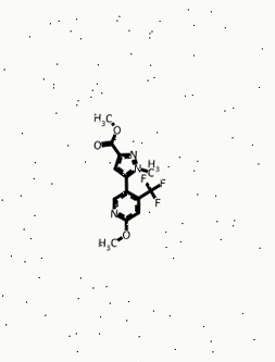 COC(=O)c1cc(-c2cnc(OC)cc2C(F)(F)F)n(C)n1